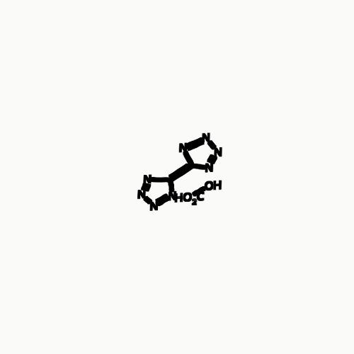 N1=NC(=C2N=NN=N2)N=N1.O=C(O)O